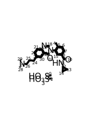 CS(=O)(=O)O.CS(=O)(=O)O.Cc1ccc(C(=O)NC2CC2)cc1-n1cnc2ccc(CCCN(C)C)cc2c1=O